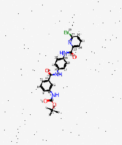 CC(C)(C)OC(=O)Nc1cccc(C(=O)Nc2ccc(NC(=O)c3cccc(Br)n3)cc2)c1